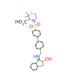 CC1(C)SCCN(S(=O)(=O)c2ccc(-c3ccc(CN[C@H]4c5ccccc5CC4O)cc3)cc2)C1C(=O)O